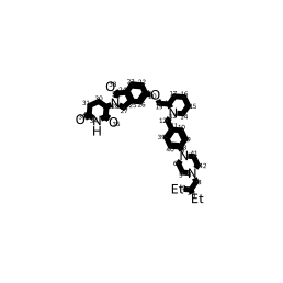 CCC(CC)CN1CCN(c2ccc(CN3CCCCC3COc3ccc4c(c3)CN(C3CCC(=O)NC3=O)C4=O)cc2)CC1